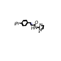 CC(C)c1ccc(/C=C/C(=O)Nc2nccn2C)cc1